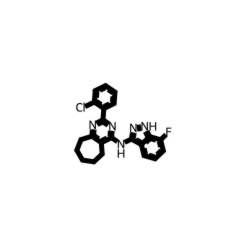 Fc1cccc2c(Nc3nc(-c4ccccc4Cl)nc4c3CCCCC4)n[nH]c12